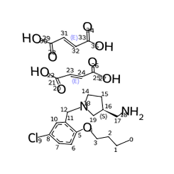 CCCCOc1ccc(Cl)cc1CN1CC[C@@H](CN)C1.O=C(O)/C=C/C(=O)O.O=C(O)/C=C/C(=O)O